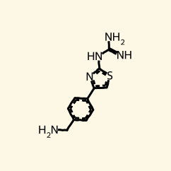 N=C(N)Nc1nc(-c2ccc(CN)cc2)cs1